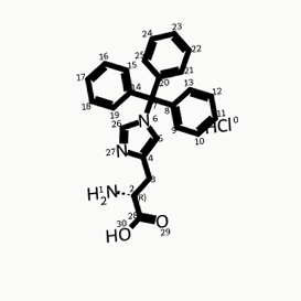 Cl.N[C@H](Cc1cn(C(c2ccccc2)(c2ccccc2)c2ccccc2)cn1)C(=O)O